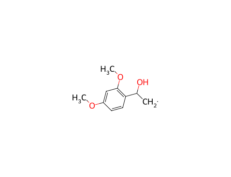 [CH2]C(O)c1ccc(OC)cc1OC